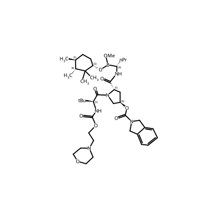 CCC[C@H](NC(=O)[C@@H]1C[C@@H](OC(=O)N2Cc3ccccc3C2)CN1C(=O)[C@@H](NC(=O)OCCN1CCOCC1)C(C)(C)C)B(OC)O[C@H]1CC[C@H](C)[C@@H](C)C1(C)C